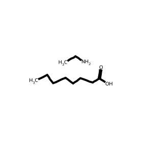 CCCCCCCC(=O)O.CCN